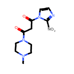 CN1CCN(C(=O)CC(=O)n2ccnc2[N+](=O)[O-])CC1